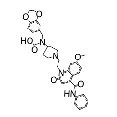 COc1ccc2c(C(=O)Nc3ccccc3)cc(=O)n(CCN3CCC(N(Cc4ccc5c(c4)OCCO5)C(=O)O)CC3)c2c1